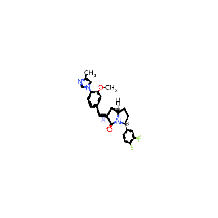 COc1cc(/C=C2\C[C@H]3CC[C@@H](c4ccc(F)c(F)c4)N3C2=O)ccc1-n1cnc(C)c1